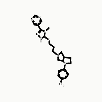 CN1C(c2cncnc2)=NNC1SCCCN1CC2CCN(c3ccc(C(F)(F)F)cc3)C2C1